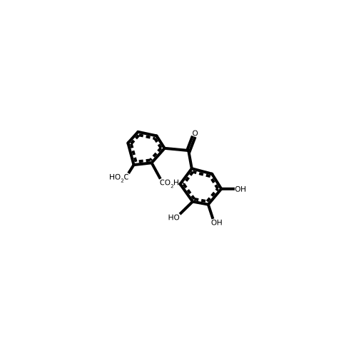 O=C(O)c1cccc(C(=O)c2cc(O)c(O)c(O)c2)c1C(=O)O